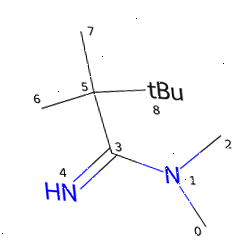 CN(C)C(=N)C(C)(C)C(C)(C)C